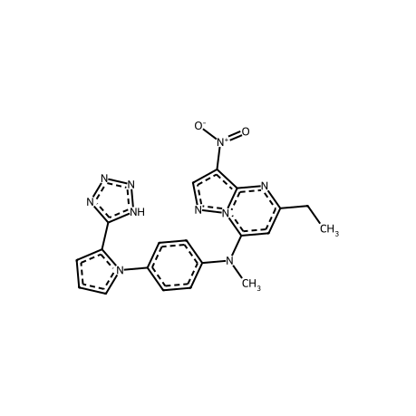 CCc1cc(N(C)c2ccc(-n3cccc3-c3nnn[nH]3)cc2)n2ncc([N+](=O)[O-])c2n1